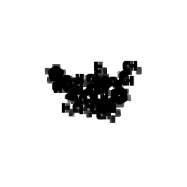 C=C[C@@H]1C[C@]1(NC(=O)C1C[C@@]2(CN1C(=O)[C@@H](NC(=O)c1cccc(C(=O)NCCC)c1)C(C)(C)C)C(C)(C)C21CCC1)C(=O)NS(=O)(=O)N1CCCC1